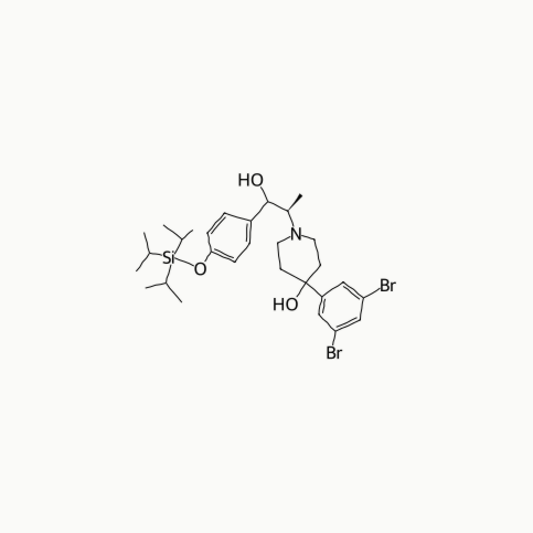 CC(C)[Si](Oc1ccc(C(O)[C@@H](C)N2CCC(O)(c3cc(Br)cc(Br)c3)CC2)cc1)(C(C)C)C(C)C